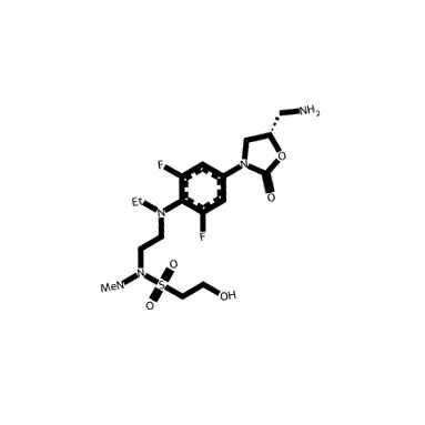 CCN(CCN(NC)S(=O)(=O)CCO)c1c(F)cc(N2C[C@H](CN)OC2=O)cc1F